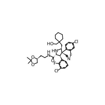 CC1(C)OC[C@H](CCNC(=O)[C@@H]2N[C@@H](CC3(CO)CCCCC3)[C@](C#N)(c3ccc(Cl)cc3F)[C@H]2c2cccc(Cl)c2F)O1